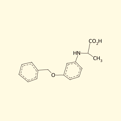 CC(Nc1cccc(OCc2ccccc2)c1)C(=O)O